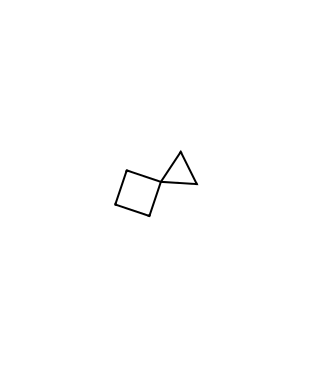 C1CC2(C1)CC2